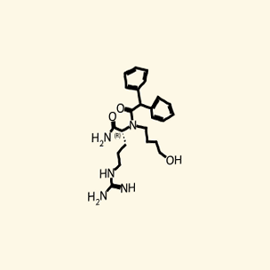 N=C(N)NCCC[C@H](C(N)=O)N(CCCCO)C(=O)C(c1ccccc1)c1ccccc1